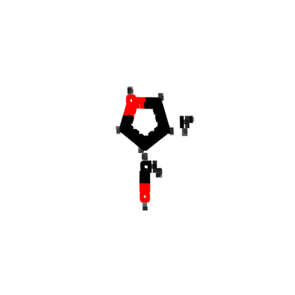 C=O.[H+].c1ccoc1